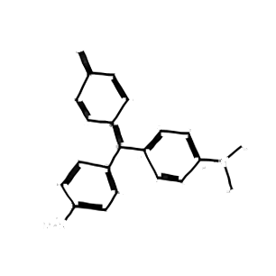 C=c1ccc(=C(c2ccc(NC)cc2)c2ccc(N(C)C)cc2)cc1